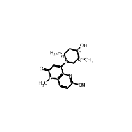 C[C@@H]1CN(c2cc(=O)n(C)c3ccc(C#N)nc23)[C@H](C)C[C@H]1O